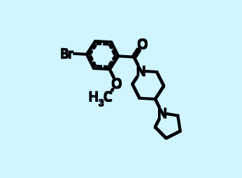 COc1cc(Br)ccc1C(=O)N1CCC(N2CCCC2)CC1